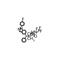 CC(C)(COC(=O)NCC(F)(F)F)C(c1ccccc1)c1ccc2c(cnn2-c2ccc(F)cc2)c1